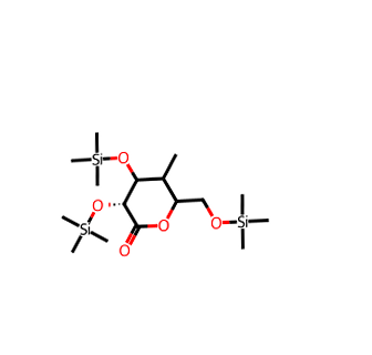 CC1C(CO[Si](C)(C)C)OC(=O)[C@H](O[Si](C)(C)C)C1O[Si](C)(C)C